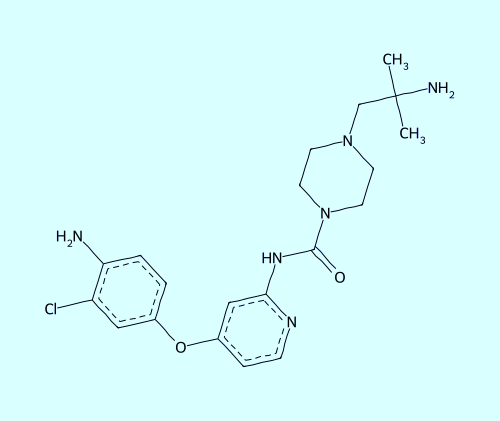 CC(C)(N)CN1CCN(C(=O)Nc2cc(Oc3ccc(N)c(Cl)c3)ccn2)CC1